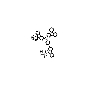 CC1(C)c2ccccc2-c2ccc(-c3ccc(N(c4ccc5c(c4)-c4ccccc4C54CCCCC4)c4ccc5c(c4)-c4ccccc4C54C5CC6CC(C5)CC4C6)cc3)cc21